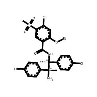 CCOc1cc(Cl)c(S(C)(=O)=O)cc1C(=O)N[C@@](C)(c1ccc(Cl)cc1)[C@](C)(N)c1ccc(Cl)cc1